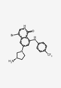 N[C@@H]1CCN(c2cc(Nc3ccc(C(F)(F)F)cc3)c3c(=O)[nH]cc(Br)c3c2)C1